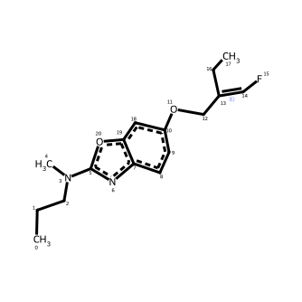 CCCN(C)c1nc2ccc(OC/C(=C/F)CC)cc2o1